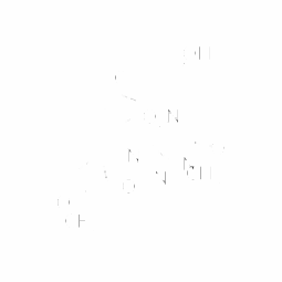 CN1C(=O)CN(C2CC[C@@H](O)C2)C(=O)c2c1nc(Oc1cccc(OC(F)(F)F)c1)n2Cc1ccc(Cl)cc1